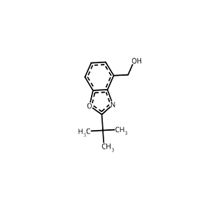 CC(C)(C)c1nc2c(CO)cccc2o1